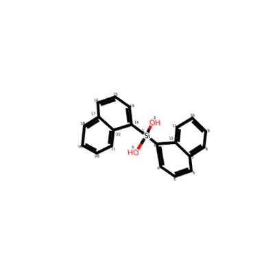 O[Si](O)(c1cccc2ccccc12)c1cccc2ccccc12